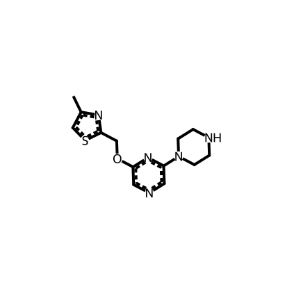 Cc1csc(COc2cncc(N3CCNCC3)n2)n1